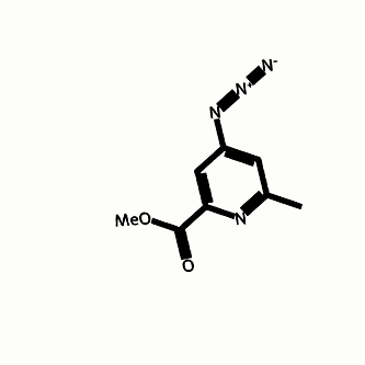 COC(=O)c1cc(N=[N+]=[N-])cc(C)n1